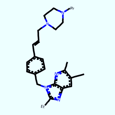 CCc1nc2cc(C)c(C)nc2n1Cc1ccc(C=CCN2CCN(C(C)C)CC2)cc1